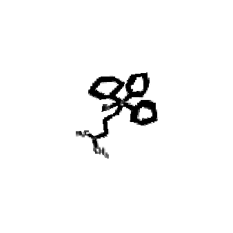 CN(C)CCCP(Br)(c1ccccc1)(c1ccccc1)c1ccccc1